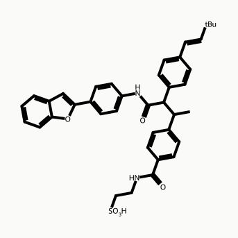 CC(c1ccc(C(=O)NCCS(=O)(=O)O)cc1)C(C(=O)Nc1ccc(-c2cc3ccccc3o2)cc1)c1ccc(/C=C/C(C)(C)C)cc1